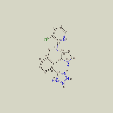 Clc1cccnc1N(Cc1cccc(-c2nnn[nH]2)c1)[C@@H]1CCNC1